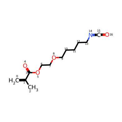 C=C(C)C(=O)OCCOCCCCCN=C=O